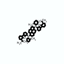 Cc1ccccc1N(c1ccc2ccc3c(N(c4ccccc4C)c4cccc5c4oc4c(C(C)C)cccc45)ccc4ccc1c2c43)c1cccc2c1oc1c(C(C)C)cccc12